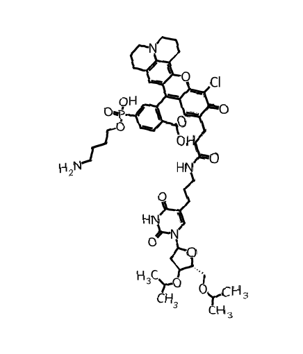 CC(C)OC[C@H]1OC(n2cc(CCCNC(=O)CCc3cc4c(-c5cc(P(=O)(O)OCCCCN)ccc5C(=O)O)c5cc6c7c(c5oc-4c(Cl)c3=O)CCCN7CCC6)c(=O)[nH]c2=O)CC1OC(C)C